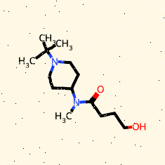 CN(C(=O)CCCO)C1CCN(C(C)(C)C)CC1